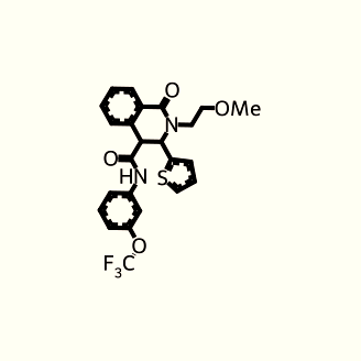 COCCN1C(=O)c2ccccc2C(C(=O)Nc2cccc(OC(F)(F)F)c2)C1c1cccs1